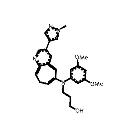 COc1cc(OC)cc(N(CCCO)C2=CCC=c3ncc(-c4cnn(C)c4)cc3=C2)c1